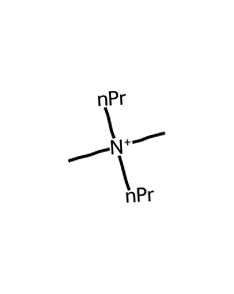 [CH2]CC[N+](C)(C)CCC